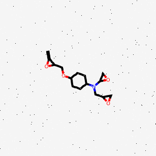 C=C1OC1COC1CCC(N(CC2CO2)C2CO2)CC1